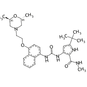 CNC(=O)c1[nH]c(C(C)(C)C)cc1NC(=O)Nc1ccc(OCCN2C[C@@H](C)O[C@H](C)C2)c2ccccc12